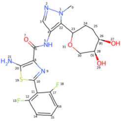 Cn1ncc(NC(=O)c2nc(-c3c(F)cccc3F)sc2N)c1C1CC[C@@H](O)[C@@H](O)CO1